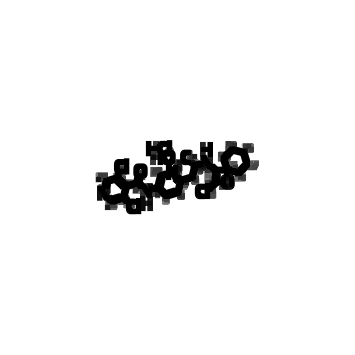 Cl.O=C(Nc1ccc(C[C@H](NC2=C(Cl)OC23CCCCC3)C(=O)O)nc1)c1c(Cl)cncc1Cl